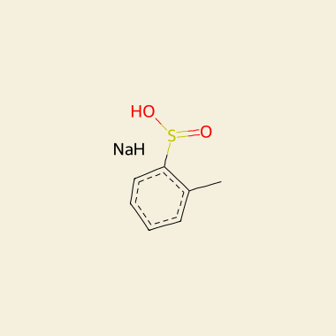 Cc1ccccc1S(=O)O.[NaH]